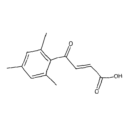 Cc1cc(C)c(C(=O)C=CC(=O)O)c(C)c1